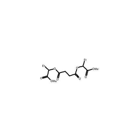 CCC(OC(=O)CCC(=O)OC(CC)C(=O)OC)C(=O)OC